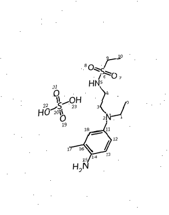 CCN(CCNS(=O)(=O)CC)c1ccc(N)c(C)c1.O=S(=O)(O)O